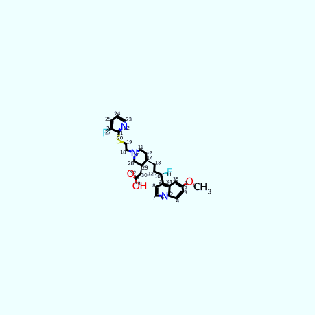 COc1ccc2nccc([C@H](F)CC[C@@H]3CCN(CCSc4ncccc4F)C[C@@H]3CC(=O)O)c2c1